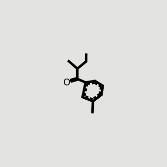 CCC(C)C(=O)c1cccc(C)c1